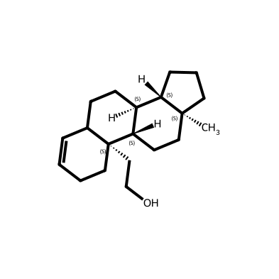 C[C@@]12CCC[C@H]1[C@@H]1CCC3C=CCC[C@]3(CCO)[C@H]1CC2